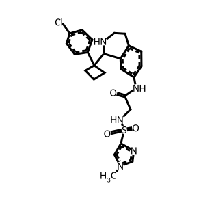 Cn1cnc(S(=O)(=O)NCC(=O)Nc2ccc3c(c2)C(C2(c4ccc(Cl)cc4)CCC2)NCC3)c1